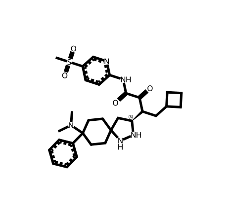 CN(C)C1(c2ccccc2)CCC2(CC1)C[C@@H](C(CC1CCC1)C(=O)C(=O)Nc1ccc(S(C)(=O)=O)cn1)NN2